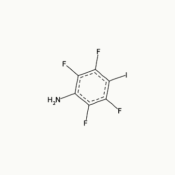 Nc1c(F)c(F)c(I)c(F)c1F